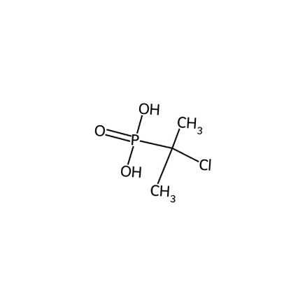 CC(C)(Cl)P(=O)(O)O